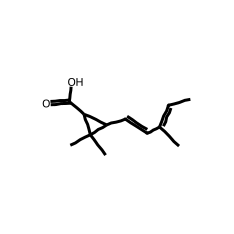 CC=C(C)C=CC1C(C(=O)O)C1(C)C